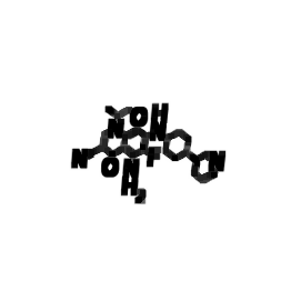 C[C@H]1COc2c(N[C@H]3CC[C@H](c4cccnc4)CC3)c(F)c(N)c3c(=O)c(C#N)cn1c23